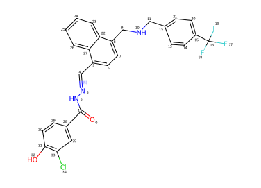 O=C(N/N=C/c1ccc(CNCc2ccc(C(F)(F)F)cc2)c2ccccc12)c1ccc(O)c(Cl)c1